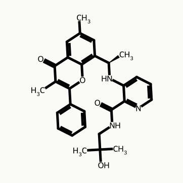 Cc1cc([C@@H](C)Nc2cccnc2C(=O)NCC(C)(C)O)c2oc(-c3ccccc3)c(C)c(=O)c2c1